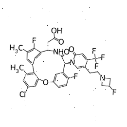 Cc1cc2cc(c1F)[C@H](CC(=O)O)NC(=O)[C@@H](n1cc(CCN3CC(F)C3)c(C(F)(F)F)cc1=O)c1cc(ccc1F)Oc1cc(Cl)cc(C)c1-2